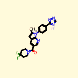 Cc1cc2cc(C(=O)N3CCC(F)(F)CC3)cnc2n1-c1ccc(-c2nnc[nH]2)cc1